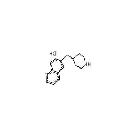 Cl.c1cnc2ccc(CC3CCNCC3)cc2c1